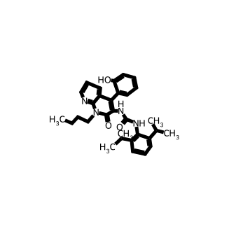 CCCCn1c(=O)c(NC(=O)Nc2c(C(C)C)cccc2C(C)C)c(-c2ccccc2O)c2cccnc21